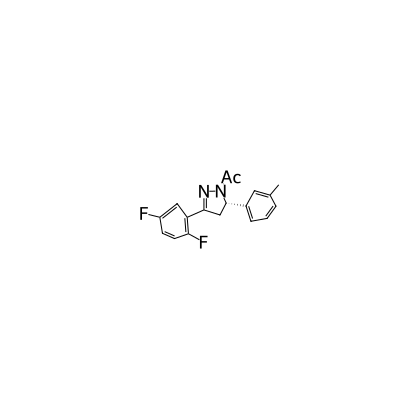 CC(=O)N1N=C(c2cc(F)ccc2F)C[C@H]1c1cccc(C)c1